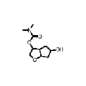 CN(C)C(=O)OC1COC2CC(O)CC21